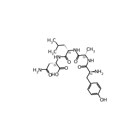 CC(C)C[C@H](NC(=O)[C@H](C)NC(=O)[C@@H](N)Cc1ccc(O)cc1)C(=O)N[C@@H](CC(N)=O)C(=O)O